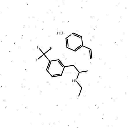 C=Cc1ccccc1.CCNC(C)Cc1cccc(C(F)(F)F)c1.Cl